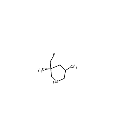 CC1CNC[C@](C)(CF)C1